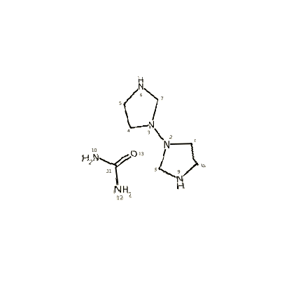 C1CN(N2CCNC2)CN1.NC(N)=O